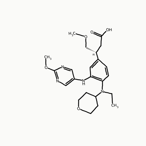 CCN(c1ccc([C@H](COC)CC(=O)O)cc1Nc1cnc(OC)nc1)C1CCOCC1